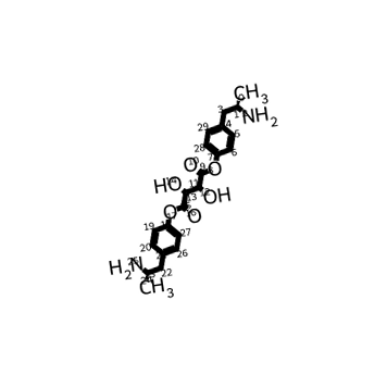 C[C@@H](N)Cc1ccc(OC(=O)C(O)C(O)C(=O)Oc2ccc(C[C@@H](C)N)cc2)cc1